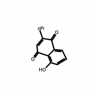 CCCC1=CC(=O)c2c(O)cccc2C1=O